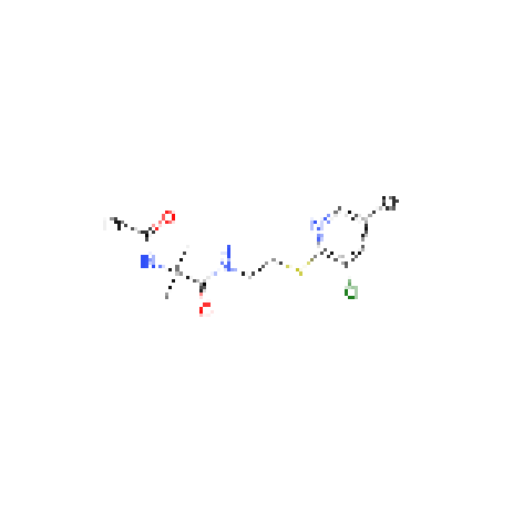 CC(C)C(=O)NC(C)(C)C(=O)NCCSc1ncc(C(F)(F)F)cc1Cl